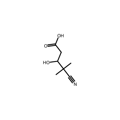 CC(C)(C#N)C(O)CC(=O)O